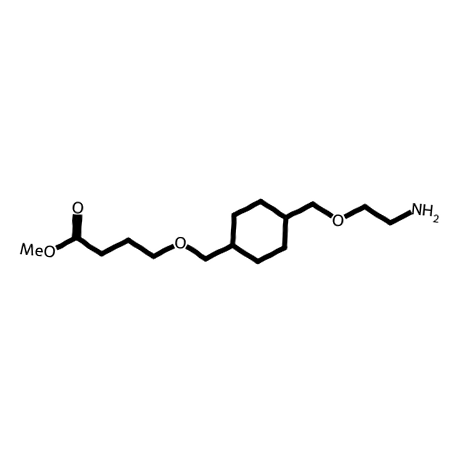 COC(=O)CCCOCC1CCC(COCCN)CC1